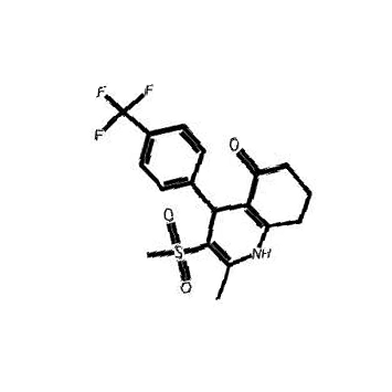 CC1=C(S(C)(=O)=O)C(c2ccc(C(F)(F)F)cc2)C2=C(CCCC2=O)N1